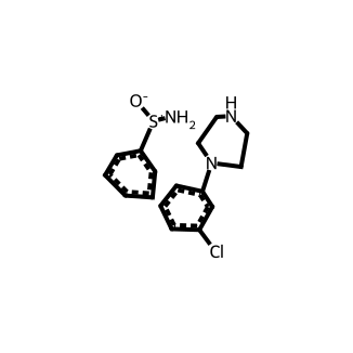 Clc1cccc(N2CCNCC2)c1.N[S+]([O-])c1ccccc1